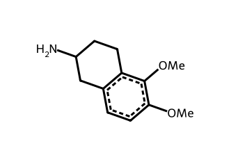 COc1ccc2c(c1OC)CCC(N)C2